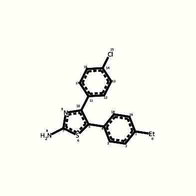 CCc1ccc(-c2sc(N)nc2-c2ccc(Cl)cc2)cc1